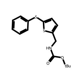 CC(C)(C)OC(=O)NCc1ccc(Sc2ccccc2)s1